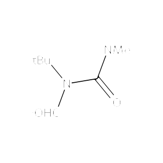 CNC(=O)N([C]=O)C(C)(C)C